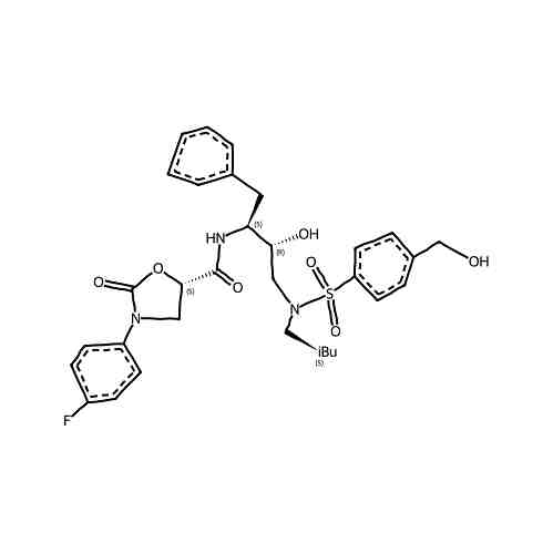 CC[C@H](C)CN(C[C@@H](O)[C@H](Cc1ccccc1)NC(=O)[C@@H]1CN(c2ccc(F)cc2)C(=O)O1)S(=O)(=O)c1ccc(CO)cc1